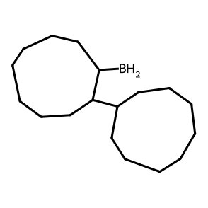 BC1CCCCCCCC1C1CCCCCCCC1